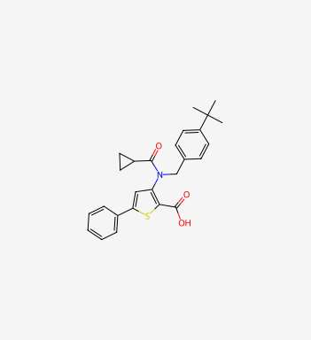 CC(C)(C)c1ccc(CN(C(=O)C2CC2)c2cc(-c3ccccc3)sc2C(=O)O)cc1